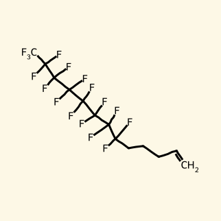 C=CCCCC(F)(F)C(F)(F)C(F)(F)C(F)(F)C(F)(F)C(F)(F)C(F)(F)C(F)(F)F